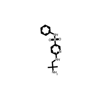 CC(C)(N)CNc1ccc(S(=O)(=O)Nc2ccccc2)cn1